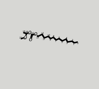 CCCCCCCCCCCCCCOC(=O)OC(C)OC